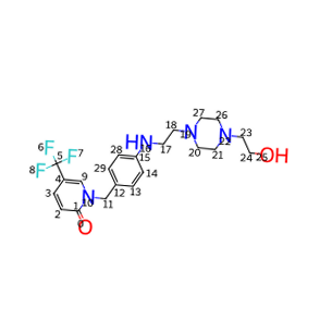 O=c1ccc(C(F)(F)F)cn1Cc1ccc(NCCN2CCN(CCO)CC2)cc1